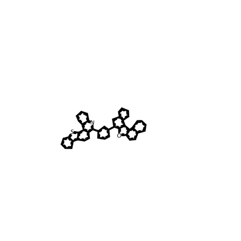 c1cc(-c2nc3ccccc3c3c2ccc2c4ccccc4sc23)cc(-c2cc3ccccc3c3c2oc2ccc4ccccc4c23)c1